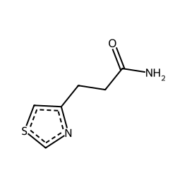 NC(=O)CCc1cscn1